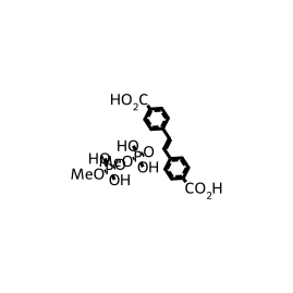 COP(=O)(O)O.COP(=O)(O)O.O=C(O)c1ccc(C=Cc2ccc(C(=O)O)cc2)cc1